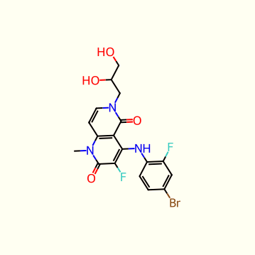 Cn1c(=O)c(F)c(Nc2ccc(Br)cc2F)c2c(=O)n(CC(O)CO)ccc21